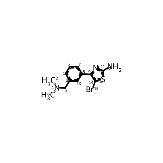 CN(C)Cc1cccc(-c2nc(N)sc2Br)c1